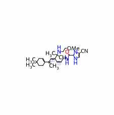 COCCNC(C)(C)C(/C=C\CNC(=O)c1nc(C#N)c[nH]1)=C/[C@@H](C)C1=CCC(C)(C)CC1